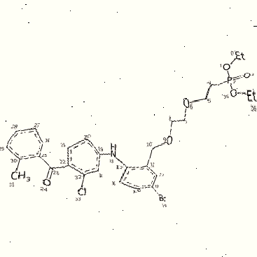 CCOP(=O)(CCOCCOCc1cc(Br)ccc1Nc1ccc(C(=O)c2ccccc2C)c(Cl)c1)OCC